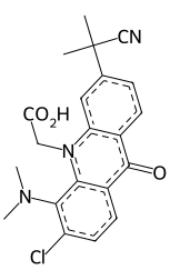 CN(C)c1c(Cl)ccc2c(=O)c3ccc(C(C)(C)C#N)cc3n(CC(=O)O)c12